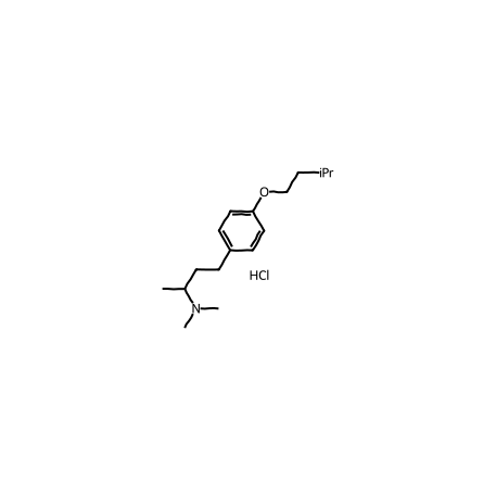 CC(C)CCOc1ccc(CCC(C)N(C)C)cc1.Cl